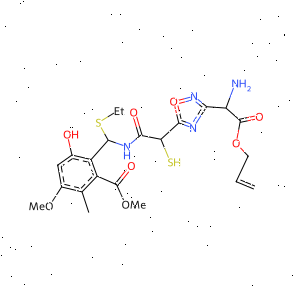 C=CCOC(=O)C(N)c1noc(C(S)C(=O)NC(SCC)c2c(O)cc(OC)c(C)c2C(=O)OC)n1